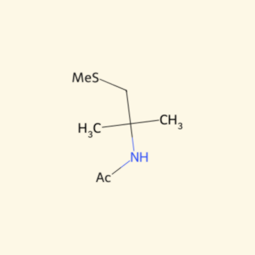 CSCC(C)(C)NC(C)=O